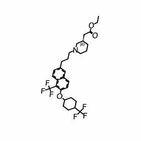 CCOC(=O)C[C@H]1CCCN(CCCc2ccc3c(C(F)(F)F)c(OC4CCC(C(F)(F)F)CC4)ccc3c2)C1